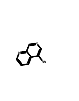 [NH]c1cncc2ncccc12